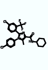 Cc1c(C(=O)NC2CCCCC2)nc(-c2ccc(Cl)cc2C(F)(F)F)n1-c1ccc(Cl)cc1